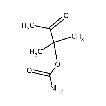 CC(=O)C(C)(C)OC(N)=O